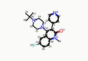 Cn1c(=O)c(-c2ccncc2)c(N2CCN(C(C)(C)C)CC2)c2cc(F)ccc21